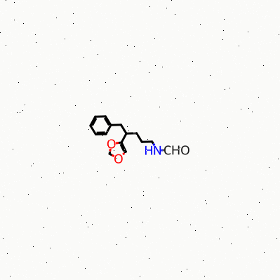 O=CNCCCC(Cc1ccccc1)C1=COCO1